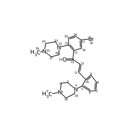 CN1CCN(c2ccccc2C=CC(=O)c2cc(Br)ccc2N2CCN(C)CC2)CC1